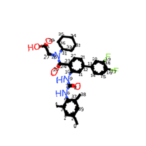 Cc1cc(C)c(NC(=O)Nc2cc(-c3ccc(F)c(F)c3)ccc2C(=O)N(CC(=O)O)C2CCCCC2)c(C)c1